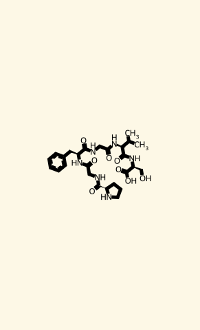 CC(C)[C@H](NC(=O)CNC(=O)[C@H](Cc1ccccc1)NC(=O)CNC(=O)[C@@H]1CCCN1)C(=O)N[C@@H](CO)C(=O)O